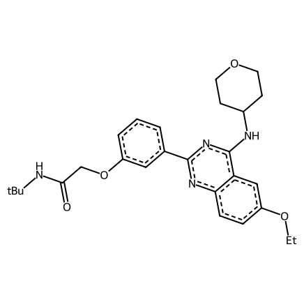 CCOc1ccc2nc(-c3cccc(OCC(=O)NC(C)(C)C)c3)nc(NC3CCOCC3)c2c1